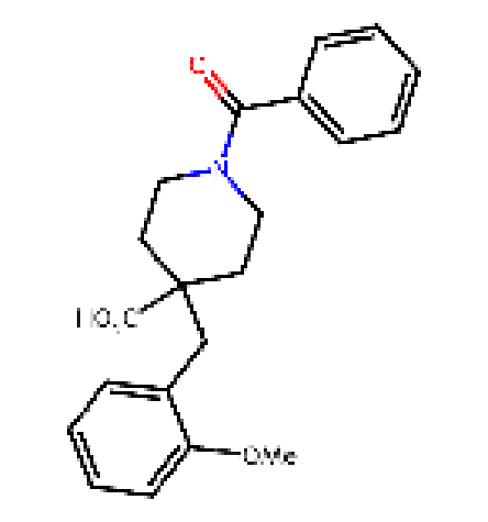 COc1ccccc1CC1(C(=O)O)CCN(C(=O)c2ccccc2)CC1